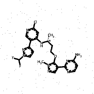 C[C@H](CCOc1c(-c2nccc(N)n2)cnn1C)Nc1cc(Cl)ncc1-c1ccn(C(F)F)n1